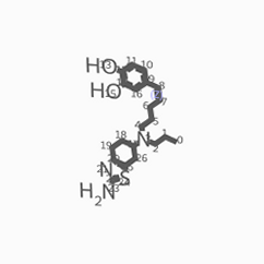 CCCN(CCC/C=C\c1ccc(O)c(O)c1)C1CCc2nc(N)sc2C1